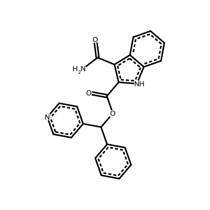 NC(=O)c1c(C(=O)OC(c2ccccc2)c2ccncc2)[nH]c2ccccc12